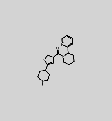 O=C(C1C=C(C2CCNCC2)SC1)N1CCCCC1c1ccccn1